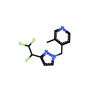 Cc1cnccc1Cn1ccc(C(F)C(F)F)n1